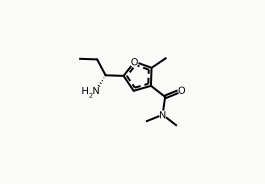 CC[C@@H](N)c1cc(C(=O)N(C)C)c(C)o1